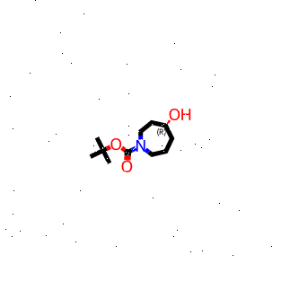 CC(C)(C)OC(=O)N1CCC[C@@H](O)CC1